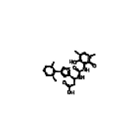 Cc1cn(C)c(=O)c(NC(=O)NC(CC(=O)O)c2cc(-c3c(C)cccc3C)cs2)c1O